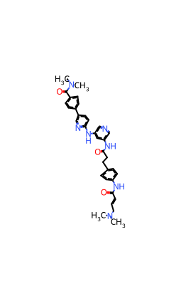 CN(C)CC=CC(=O)Nc1ccc(CCC(=O)Nc2cncc(Nc3ccc(-c4ccc(C(=O)N(C)C)cc4)cn3)c2)cc1